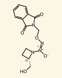 O=C1c2ccccc2C(=O)N1CO/N=[N+](/[O-])N1CC[C@H]1CO